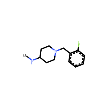 CCNC1CCN(Cc2ccccc2F)CC1